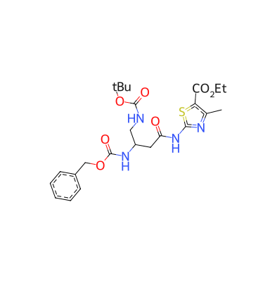 CCOC(=O)c1sc(NC(=O)CC(CNC(=O)OC(C)(C)C)NC(=O)OCc2ccccc2)nc1C